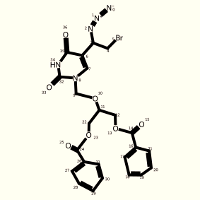 [N-]=[N+]=NC(CBr)c1cn(COC(COC(=O)c2ccccc2)COC(=O)c2ccccc2)c(=O)[nH]c1=O